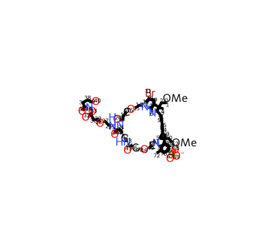 COCCC1(C)C2=Nc3c1cc(Br)c[n+]3CCOCCC(=O)NC(C(=O)NCCOCCC(=O)ON1C(=O)CCC1=O)CCNC(=O)CCOCCN1/C(=C/C=C/C=C/2)C(C)(CCOC)c2cc(S(=O)(=O)[O-])cc(C)c21